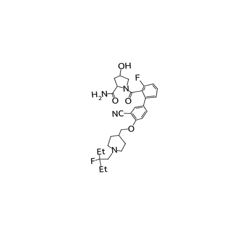 CCC(F)(CC)CN1CCC(COc2ccc(-c3cccc(F)c3C(=O)N3CC(O)CC3C(N)=O)cc2C#N)CC1